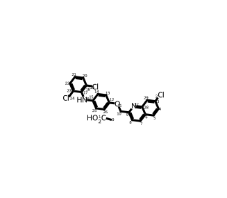 CC(=O)O.Clc1ccc2ccc(COc3ccc(Nc4c(Cl)cccc4Cl)cc3)nc2c1